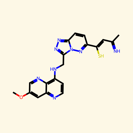 COc1cnc2c(NCc3nnc4ccc(/C(S)=C/C(C)=N)nn34)ccnc2c1